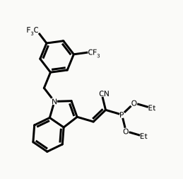 CCOP(OCC)/C(C#N)=C/c1cn(Cc2cc(C(F)(F)F)cc(C(F)(F)F)c2)c2ccccc12